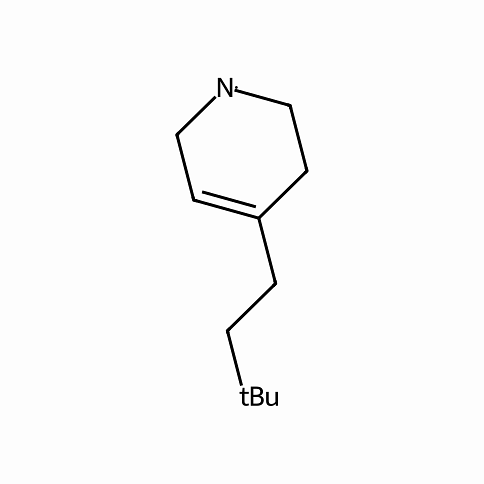 CC(C)(C)CCC1=CC[N]CC1